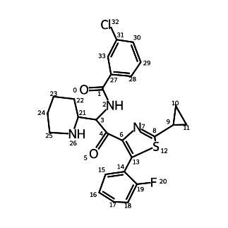 O=C(NC(C(=O)c1nc(C2CC2)sc1-c1ccccc1F)C1CCCCN1)c1cccc(Cl)c1